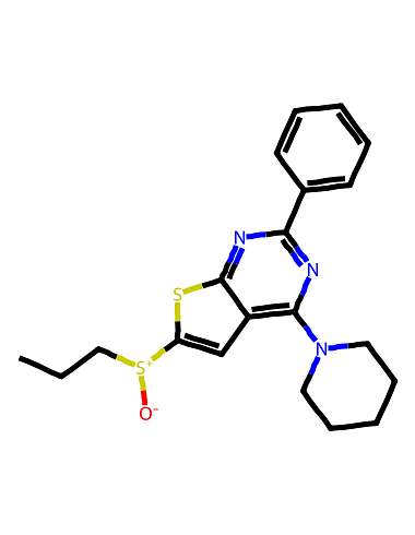 CCC[S+]([O-])c1cc2c(N3CCCCC3)nc(-c3ccccc3)nc2s1